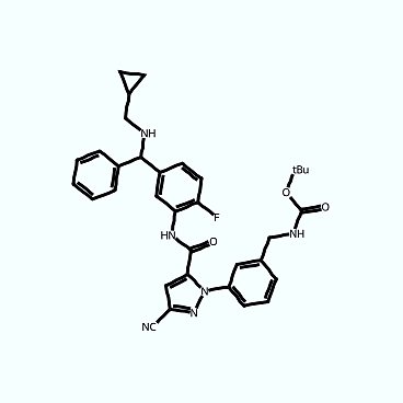 CC(C)(C)OC(=O)NCc1cccc(-n2nc(C#N)cc2C(=O)Nc2cc(C(NCC3CC3)c3ccccc3)ccc2F)c1